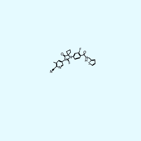 Cc1cc(N2C(=O)C3(CCC3)N(c3ccc(C(=O)NCc4cccs4)c(F)c3)C2=S)cnc1C#N